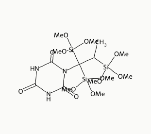 CO[Si](OC)(OC)C(C)C(n1c(=O)[nH]c(=O)[nH]c1=O)([Si](OC)(OC)OC)[Si](OC)(OC)OC